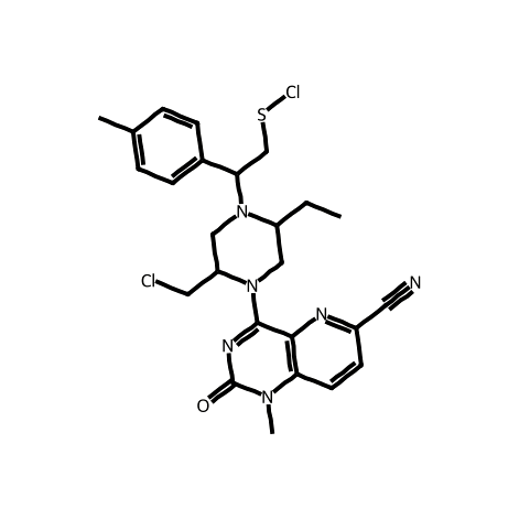 CCC1CN(c2nc(=O)n(C)c3ccc(C#N)nc23)C(CCl)CN1C(CSCl)c1ccc(C)cc1